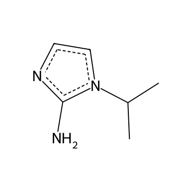 CC(C)n1ccnc1N